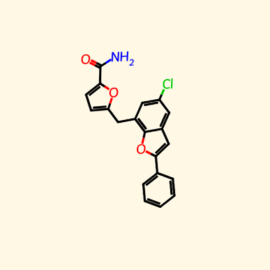 NC(=O)c1ccc(Cc2cc(Cl)cc3cc(-c4ccccc4)oc23)o1